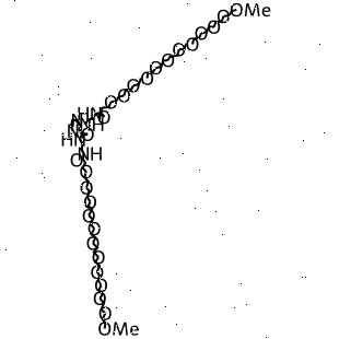 COCCOCCOCCOCCOCCOCCOCCOCCOCCOCCOCCOCCC(=O)NCCNC(=O)c1nccnc1NCCNC(=O)CCOCCOCCOCCOCCOCCOCCOCCOCCOCCOCCOCCOC